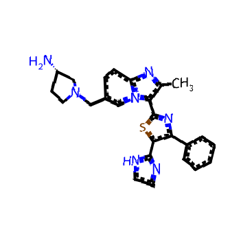 Cc1nc2ccc(CN3CC[C@H](N)C3)cn2c1-c1nc(-c2ccccc2)c(-c2ncc[nH]2)s1